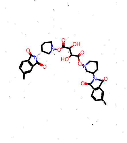 Cc1ccc2c(c1)C(=O)N([C@@H]1CCCN(OC(=O)C(O)C(O)C(=O)ON3CCC[C@@H](N4C(=O)c5ccc(C)cc5C4=O)C3)C1)C2=O